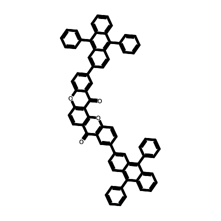 O=c1c2cc(-c3ccc4c(-c5ccccc5)c5ccccc5c(-c5ccccc5)c4c3)ccc2oc2c1ccc1oc3ccc(-c4ccc5c(-c6ccccc6)c6ccccc6c(-c6ccccc6)c5c4)cc3c(=O)c12